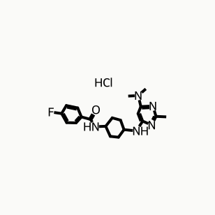 Cc1nc(NC2CCC(NC(=O)c3ccc(F)cc3)CC2)cc(N(C)C)n1.Cl